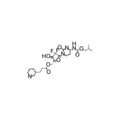 CC(C)COC(=O)Nc1ccn([C@@H]2O[C@H](COC(=O)CCc3cccnc3)[C@@H](O)C2(F)F)c(=O)n1